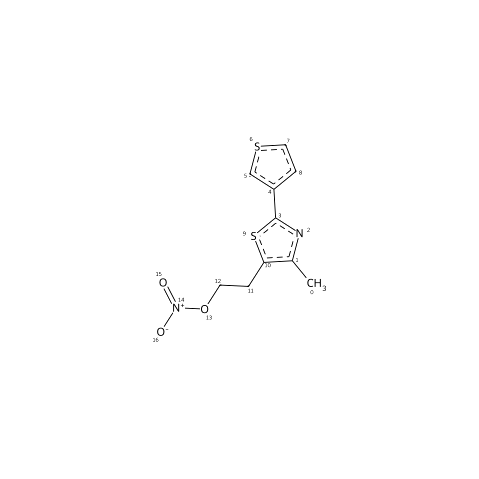 Cc1nc(-c2[c]scc2)sc1CCO[N+](=O)[O-]